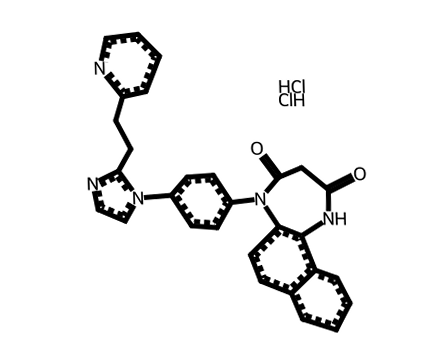 Cl.Cl.O=C1CC(=O)N(c2ccc(-n3ccnc3CCc3ccccn3)cc2)c2ccc3ccccc3c2N1